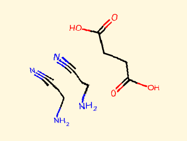 N#CCN.N#CCN.O=C(O)CCC(=O)O